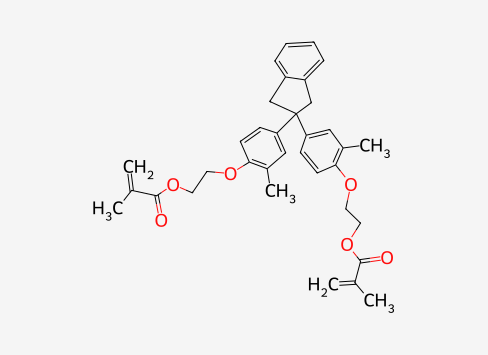 C=C(C)C(=O)OCCOc1ccc(C2(c3ccc(OCCOC(=O)C(=C)C)c(C)c3)Cc3ccccc3C2)cc1C